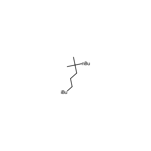 CCCCC(C)(C)CCCC(C)CC